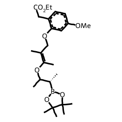 CCOC(=O)Cc1ccc(OC)cc1OC/C(C)=C(\C)OC(C)[C@H](C)B1OC(C)(C)C(C)(C)O1